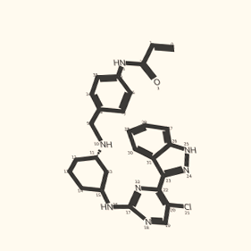 C=CC(=O)Nc1ccc(CN[C@H]2CCCC(Nc3ncc(Cl)c(-c4n[nH]c5ccccc45)n3)C2)cc1